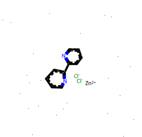 [Cl-].[Cl-].[Zn+2].c1ccc(-c2ccccn2)nc1